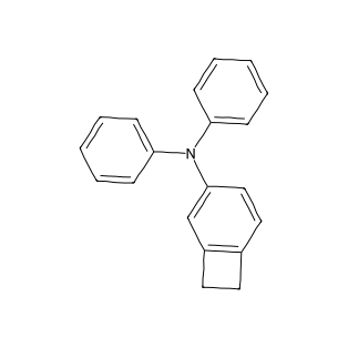 c1ccc(N(c2ccccc2)c2ccc3c(c2)CC3)cc1